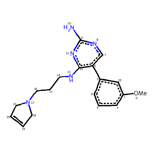 COc1cccc(-c2cnc(N)nc2NCCCN2CC=CC2)c1